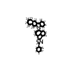 c1ccc(-c2nc3c(s2)-c2ccc(-n4c5ccccc5c5cc6ccccc6cc54)c4cccc-3c24)cc1